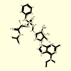 CCN(C)c1nc(C)nc2c1ncn2[C@@H]1O[C@H](COP(=O)(N[C@@H](C)C(=O)OC(C)C)Oc2ccccc2)[C@@H](O)[C@@]1(C)F